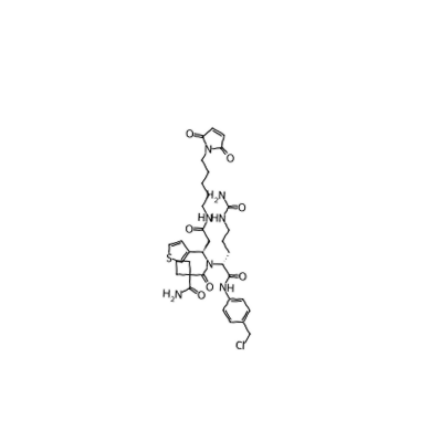 NC(=O)NCCC[C@H](C(=O)Nc1ccc(CCl)cc1)N(C(=O)C1(C(N)=O)CCC1)[C@H](CC(=O)NCCCCCN1C(=O)C=CC1=O)c1ccsc1